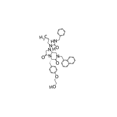 C=CCN(C(=O)NCc1ccccc1)N1CC(=O)N2[C@@H](Cc3ccc(OCCO)cc3)C(=O)N(Cc3cccc4ccccc34)C[C@@H]21